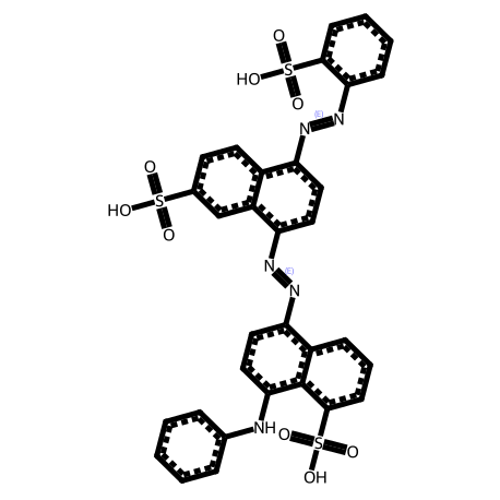 O=S(=O)(O)c1ccc2c(/N=N/c3ccccc3S(=O)(=O)O)ccc(/N=N/c3ccc(Nc4ccccc4)c4c(S(=O)(=O)O)cccc34)c2c1